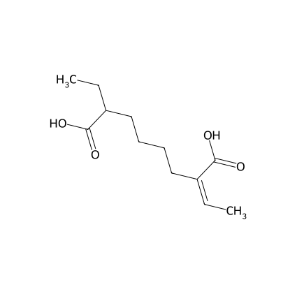 CC=C(CCCCC(CC)C(=O)O)C(=O)O